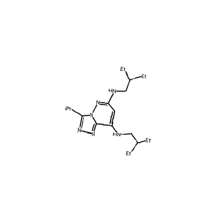 CCC(CC)CNc1cc(NCC(CC)CC)c2nnc(C(C)C)n2n1